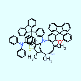 C=C1/C=C\C(C)C2=CC(C)(c3c(sc4c(N(c5ccccc5)c5ccccc5)cccc34)C2C)N(c2cccc(C3(c4ccccc4)c4ccccc4-c4ccccc43)c2)c2ccc3c(c21)Oc1ccccc1C31c2ccccc2-c2ccccc21